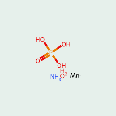 N.O.O=P(O)(O)O.[Mn]